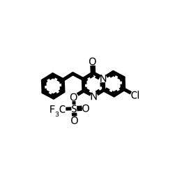 O=c1c(Cc2ccccc2)c(OS(=O)(=O)C(F)(F)F)nc2cc(Cl)ccn12